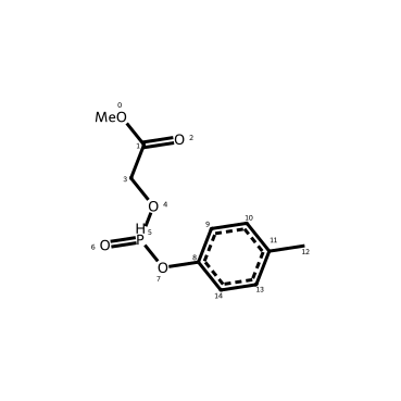 COC(=O)CO[PH](=O)Oc1ccc(C)cc1